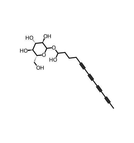 CC#CC#CC#CC#CCCCC(O)OC1O[C@H](CO)[C@@H](O)[C@H](O)[C@H]1O